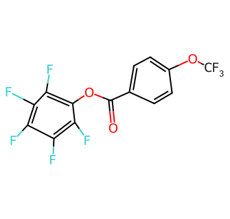 O=C(Oc1c(F)c(F)c(F)c(F)c1F)c1ccc(OC(F)(F)F)cc1